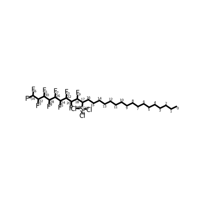 CCCCCCCCCCCCCCCCCC(C(F)C(F)C(F)C(F)C(F)C(F)C(F)C(F)C(F)F)[Si](Cl)(Cl)Cl